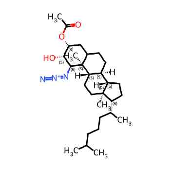 CC(=O)O[C@@H]1CC2CC[C@H]3[C@@H]4CC[C@H](C(C)CCCC(C)C)[C@@]4(C)CC[C@@H]3[C@@]2(C)[C@@H](N=[N+]=[N-])[C@@H]1O